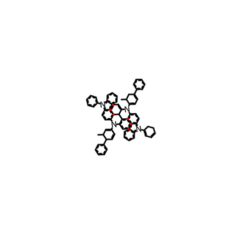 CC1CC(c2ccccc2)=CC=C1N(C1=CC=CC(C)C1c1ccccc1N(C1=CC(C)C(c2ccccc2)C=C1)c1ccc2c(c1)c1ccccc1n2-c1ccccc1)c1ccc2c(c1)c1ccccc1n2C1=CC=CCC1